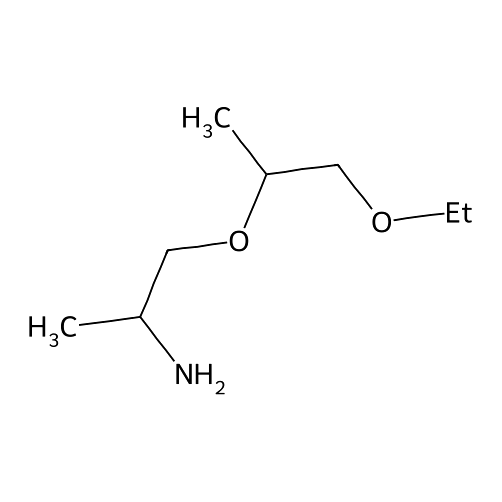 CCOCC(C)OCC(C)N